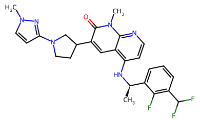 C[C@@H](Nc1ccnc2c1cc(C1CCN(c3ccn(C)n3)C1)c(=O)n2C)c1cccc(C(F)F)c1F